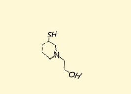 OCCN1CCCC(S)C1